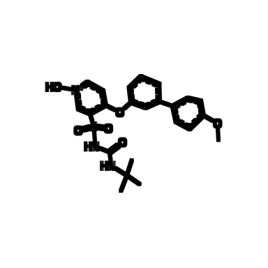 COc1ccc(-c2cccc(Oc3cc[n+](O)cc3S(=O)(=O)NC(=O)NC(C)(C)C)c2)cc1